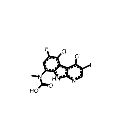 CN(C(=O)O)c1cc(F)c(Cl)c2c1[nH]c1ncc(I)c(Cl)c12